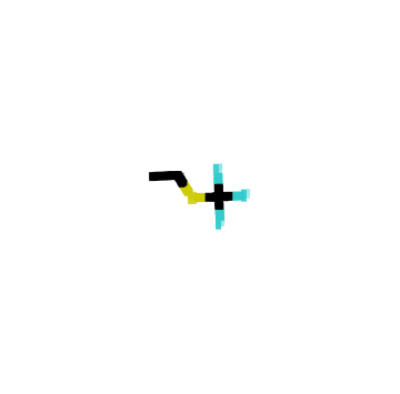 C[CH]SC(F)(F)F